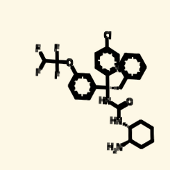 N[C@@H]1CCCC[C@H]1NC(=O)N[C@@](Cc1ccccc1)(c1cccc(OC(F)(F)C(F)F)c1)c1ccc(Cl)cn1